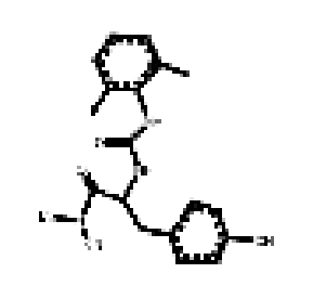 CCN(C#N)C(=O)C(Cc1ccc(O)cc1)NC(=O)Nc1c(C)cccc1C